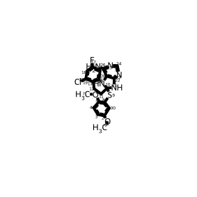 COc1ccc(OC)c(SC2(CCc3ccc(F)cc3Cl)Nc3ncnc(N)c3N2)c1